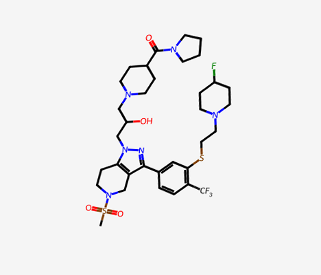 CS(=O)(=O)N1CCc2c(c(-c3ccc(C(F)(F)F)c(SCCN4CCC(F)CC4)c3)nn2CC(O)CN2CCC(C(=O)N3CCCC3)CC2)C1